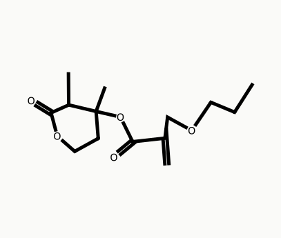 C=C(COCCC)C(=O)OC1(C)CCOC(=O)C1C